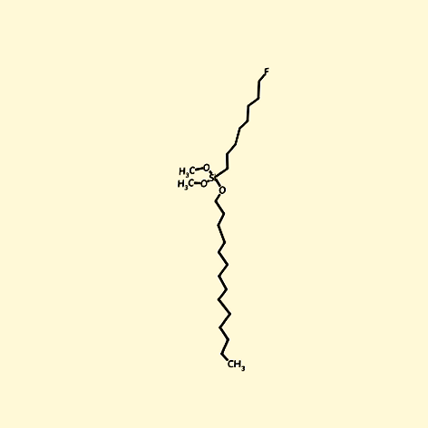 CCCCCCCCCCCCCCO[Si](CCCCCCCCF)(OC)OC